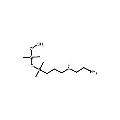 C[Si](C)(CCCNCCN)O[Si](C)(C)O[SiH3]